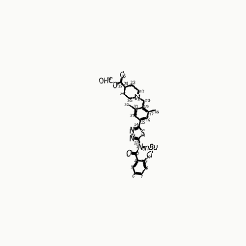 CCCCN(C(=O)c1ccccc1Cl)c1nnc(-c2cc(C)c(CN3CCC(C(=O)OC=O)CC3)c(C)c2)s1